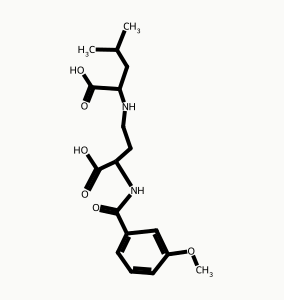 COc1cccc(C(=O)NC(CCNC(CC(C)C)C(=O)O)C(=O)O)c1